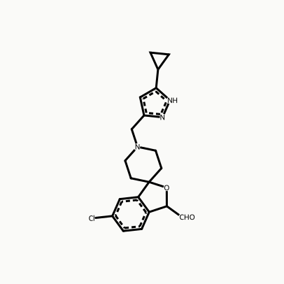 O=CC1OC2(CCN(Cc3cc(C4CC4)[nH]n3)CC2)c2cc(Cl)ccc21